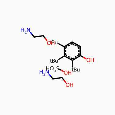 CC(C)(C)c1ccc(O)c(C(C)(C)C)c1C(C)(C)C.NCCO.NCCO.O=S(=O)(O)O